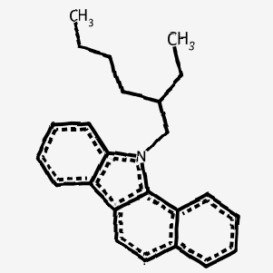 CCCCC(CC)Cn1c2ccccc2c2c[c]c3ccccc3c21